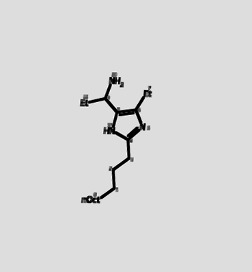 CCCCCCCCCCCc1nc(CC)c(C(N)CC)[nH]1